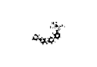 CC(C)=[Si](C)OCc1cccc(N2CCC(Oc3cnc(N4CCOCC4)nc3)CC2)c1F